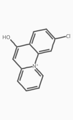 Oc1cc2cccc[n+]2c2cc(Cl)ccc12